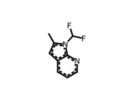 Cc1cc2cccnc2n1C(F)F